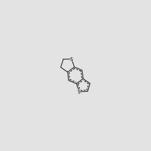 c1cc2cc3c(cc2s1)CCS3